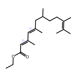 CCOC(=O)/C=C(C)/C=C(\C)CC(C)CCC(C)=C(C)C